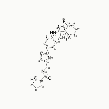 CC(C)(Nc1ncc(-c2nc(CNC(=O)[C@@H]3CCCN3)cs2)cn1)c1ncccc1F